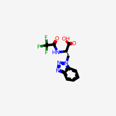 O=C(O)[C@H](Cn1nnc2ccccc21)NC(=O)C(F)(F)F